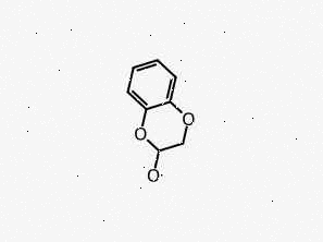 [O]C1COc2ccccc2O1